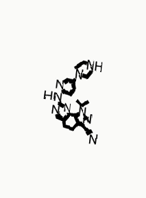 CC(C)n1nc(C#N)c2c1-c1nc(Nc3ccc(N4CCNCC4)cn3)ncc1CC2